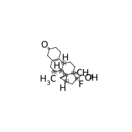 C[C@@H]1CC2=C(CCC(=O)C2)[C@H]2CC[C@]3(C)[C@@](F)(CO)C[C@@H]4C[C@]43[C@H]12